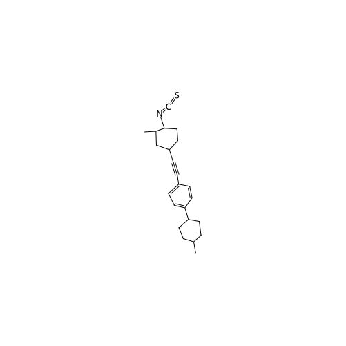 CC1CCC(c2ccc(C#CC3CCC(N=C=S)C(C)C3)cc2)CC1